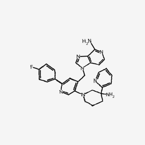 Nc1nccc2c1ncn2Cc1cc(-c2ccc(F)cc2)ncc1N1CCCC(N)(c2ccccn2)C1